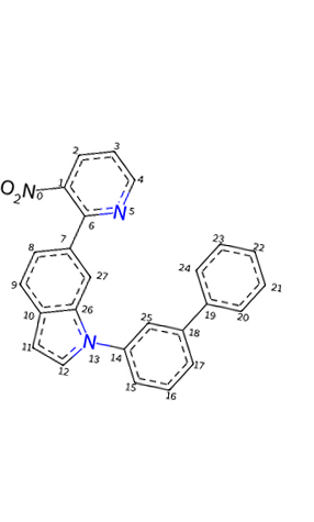 O=[N+]([O-])c1cccnc1-c1ccc2ccn(-c3cccc(-c4ccccc4)c3)c2c1